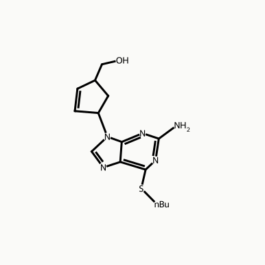 CCCCSc1nc(N)nc2c1ncn2C1C=CC(CO)C1